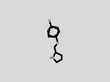 Clc1ccc(OCC2CCCN2)cc1